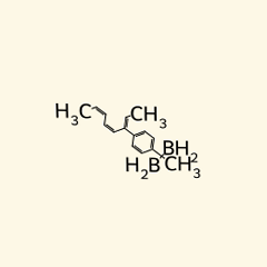 BC(B)(C)c1ccc(C(/C=C\C=C/C)=C\C)cc1